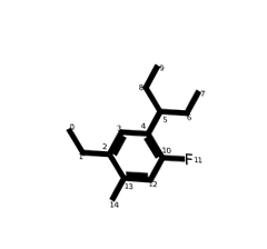 CCc1cc(C(CC)CC)c(F)cc1C